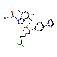 Cc1cc(C)c2c(ccn2C(=O)OC(C)(C)C)c1C[C@@H]1CCN(CCC(F)F)C[C@H]1c1ccc(-n2cccn2)cc1